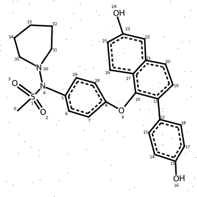 CS(=O)(=O)N(c1ccc(Oc2c(-c3ccc(O)cc3)ccc3cc(O)ccc23)cc1)N1CCCCC1